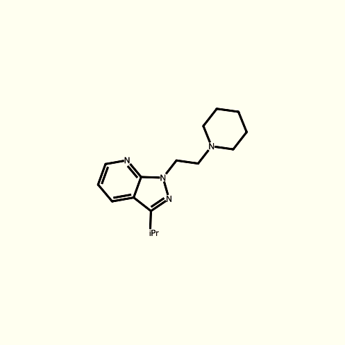 CC(C)c1nn(CCN2CCCCC2)c2ncccc12